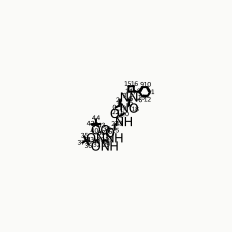 Cc1cnc(N(C)C2(c3ccccc3)CCC2)c(=O)n1CC(=O)NCCONC(=N)N(C(=O)OC(C)(C)C)C(=O)OC(C)(C)C